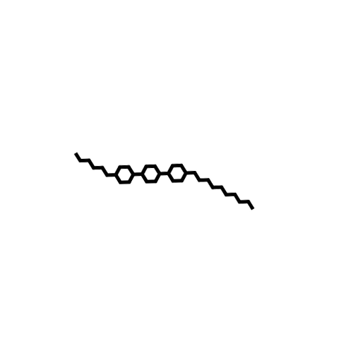 CCCCCCCCCCC1CCC(C2CCC(C3CCC(CCCCCC)CC3)CC2)CC1